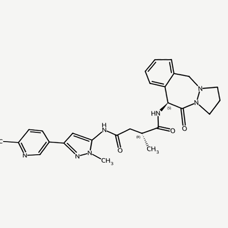 Cc1ccc(-c2cc(NC(=O)C[C@@H](C)C(=O)N[C@@H]3C(=O)N4CCCN4Cc4ccccc43)n(C)n2)cn1